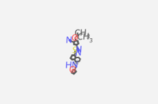 CC(C)Oc1ccc(-c2nnc(-c3cccc4c3CCC[C@@H]4NCc3ccco3)s2)cc1C#N